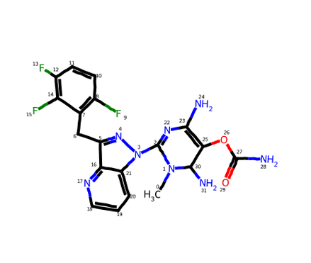 CN1C(n2nc(Cc3c(F)ccc(F)c3F)c3ncccc32)=NC(N)=C(OC(N)=O)C1N